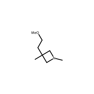 COCCC1(C)CN(C)C1